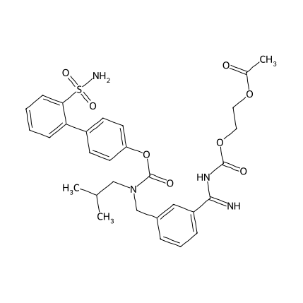 CC(=O)OCCOC(=O)NC(=N)c1cccc(CN(CC(C)C)C(=O)Oc2ccc(-c3ccccc3S(N)(=O)=O)cc2)c1